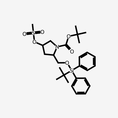 CC(C)(C)OC(=O)N1CC(OS(C)(=O)=O)CC1CO[Si](c1ccccc1)(c1ccccc1)C(C)(C)C